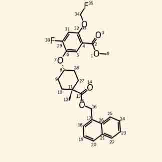 COC(=O)c1cc(O[C@H]2CC[C@@](C)(C(=O)OCc3cccc4ccccc34)CC2)c(F)cc1OCF